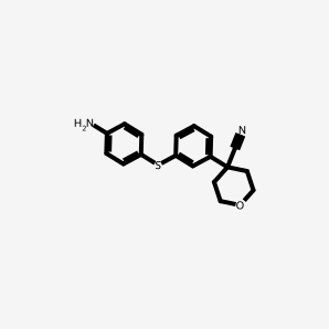 N#CC1(c2cccc(Sc3ccc(N)cc3)c2)CCOCC1